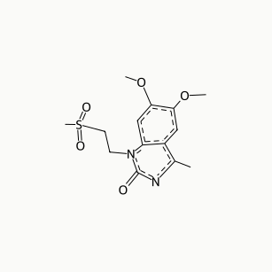 COc1cc2c(C)nc(=O)n(CCS(C)(=O)=O)c2cc1OC